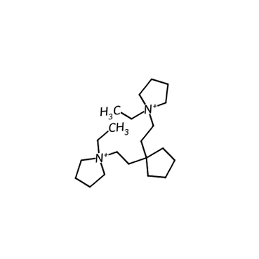 CC[N+]1(CCC2(CC[N+]3(CC)CCCC3)CCCC2)CCCC1